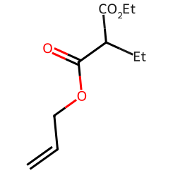 C=CCOC(=O)C(CC)C(=O)OCC